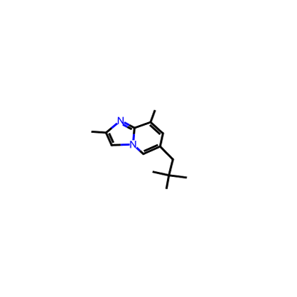 Cc1cn2cc(CC(C)(C)C)cc(C)c2n1